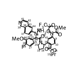 COC(=O)N(OC(=O)C(F)(F)F)c1ccc(S(=O)(=O)C(C)C)c(C2CCCN2C(=O)[C@@H](c2ccc(F)c(OC)c2)N(N)c2ccc3cnccc3c2)c1